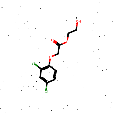 O=C(COc1ccc(Cl)cc1Cl)OCCO